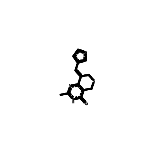 Cc1nc2c(c(=O)[nH]1)CSCC2=Cc1ccsc1